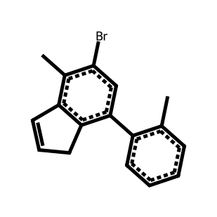 Cc1ccccc1-c1cc(Br)c(C)c2c1CC=C2